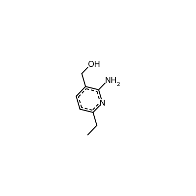 CCc1ccc(CO)c(N)n1